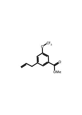 C=CCc1cc(OC(F)(F)F)cc(C(=O)OC)c1